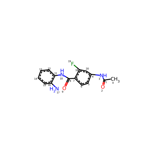 CC(=O)Nc1ccc(C(=O)Nc2ccccc2N)c(F)c1